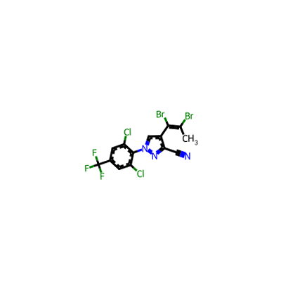 C/C(Br)=C(/Br)c1cn(-c2c(Cl)cc(C(F)(F)F)cc2Cl)nc1C#N